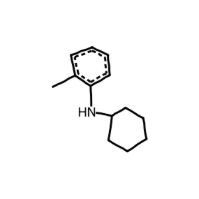 Cc1ccccc1NC1CCCCC1